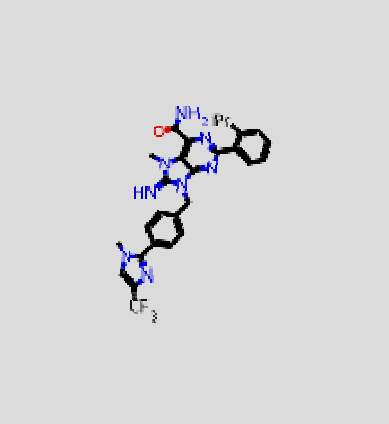 CC(C)c1ccccc1-c1nc(C(N)=O)c2c(n1)n(Cc1ccc(-c3nc(C(F)(F)F)cn3C)cc1)c(=N)n2C